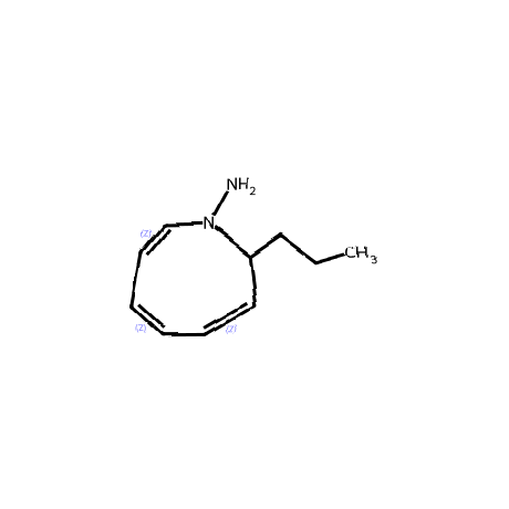 CCCC1\C=C/C=C\C=C/N1N